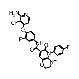 CN1CCOc2cc(C(=O)Nc3ccc(Oc4ccnc(N)c4Cl)c(F)c3)c(=O)n(-c3ccc(F)cc3)c21